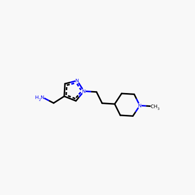 CN1CCC(CCn2cc(CN)cn2)CC1